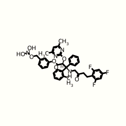 Cc1cc(C)nc(O[C@H](C(=O)Oc2cccc(CON(O)O)c2)[C@](NCC(=O)CCc2c(F)cc(F)cc2F)(c2ccccc2)c2ccccc2C)n1